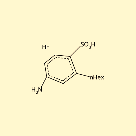 CCCCCCc1cc(N)ccc1S(=O)(=O)O.F